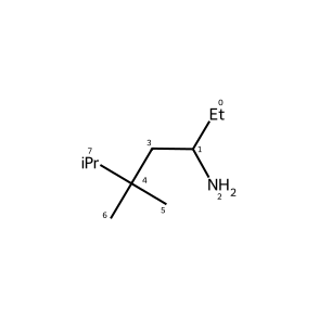 CCC(N)CC(C)(C)C(C)C